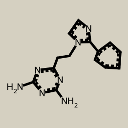 Nc1nc(N)nc(CCn2ccnc2-c2ccccc2)n1